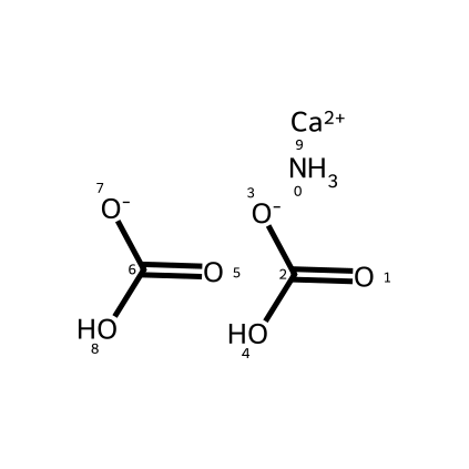 N.O=C([O-])O.O=C([O-])O.[Ca+2]